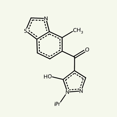 Cc1c(C(=O)c2cnn(C(C)C)c2O)ccc2scnc12